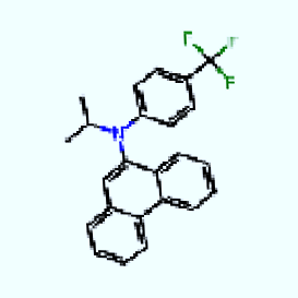 CC(C)N(c1ccc(C(F)(F)F)cc1)c1cc2ccccc2c2ccccc12